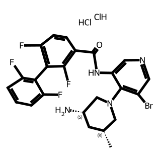 C[C@@H]1C[C@H](N)CN(c2c(Br)cncc2NC(=O)c2ccc(F)c(-c3c(F)cccc3F)c2F)C1.Cl.Cl